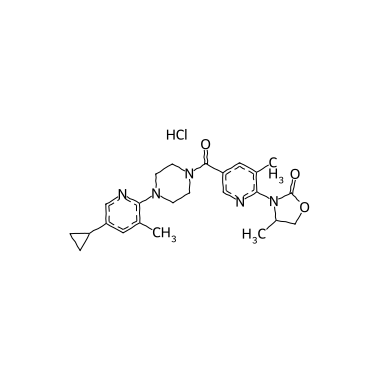 Cc1cc(C2CC2)cnc1N1CCN(C(=O)c2cnc(N3C(=O)OCC3C)c(C)c2)CC1.Cl